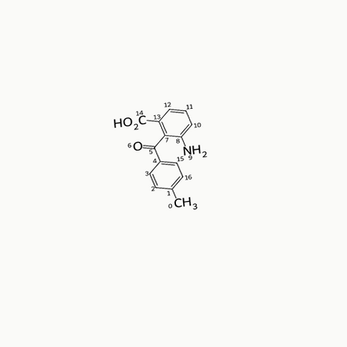 Cc1ccc(C(=O)c2c(N)cccc2C(=O)O)cc1